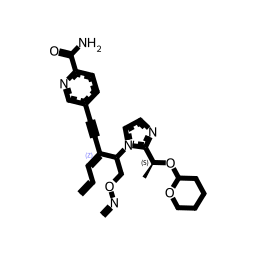 C=C/C=C(/C#Cc1ccc(C(N)=O)nc1)C(CON=C)n1ccnc1[C@H](C)OC1CCCCO1